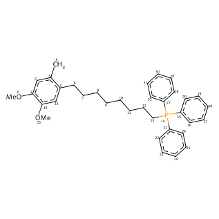 COc1cc(C)c(CCCCCCCC[P+](c2ccccc2)(c2ccccc2)c2ccccc2)cc1OC